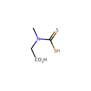 CN(CC(=O)O)C(=S)S